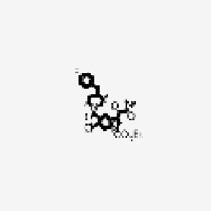 CCOC(=O)n1cc(C(=O)C(=O)N(C)C)c2cc(C(=O)N3C[C@H](C)C(Cc4ccc(F)cc4)C[C@H]3C)c(Cl)cc21